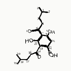 CC(C)CCC(=O)c1c(O)cc(O)c(C(=O)CCC(C)C)c1O